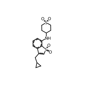 O=S1(=O)CCC(Nc2cccc3c2S(=O)(=O)C=C3CC2CC2)CC1